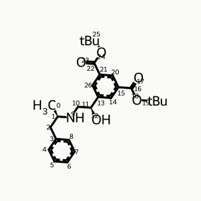 C[C@H](Cc1ccccc1)NC[C@H](O)c1cc(C(=O)OC(C)(C)C)cc(C(=O)OC(C)(C)C)c1